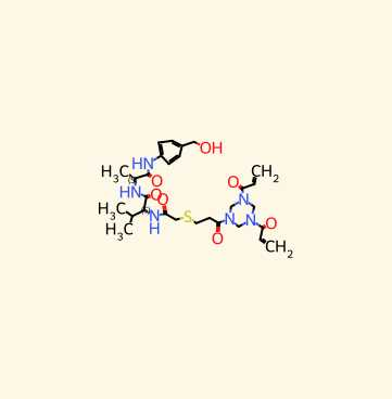 C=CC(=O)N1CN(C(=O)C=C)CN(C(=O)CCSCC(=O)N[C@H](C(=O)N[C@@H](C)C(=O)Nc2ccc(CO)cc2)C(C)C)C1